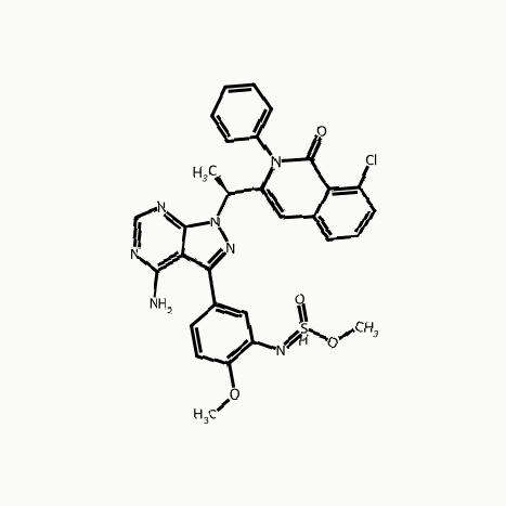 COc1ccc(-c2nn([C@@H](C)c3cc4cccc(Cl)c4c(=O)n3-c3ccccc3)c3ncnc(N)c23)cc1N=[SH](=O)OC